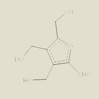 O=Cc1oc(CO)c(CO)c1CO